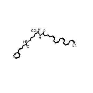 CC/C=C\C/C=C\C/C=C\C/C=C\C/C=C\CCCC(=O)N[C@@H](CCCCNC(=O)C/C=C/c1cccnc1)C(=O)O